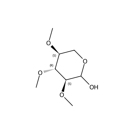 CO[C@@H]1[C@@H](OC)COC(O)[C@H]1OC